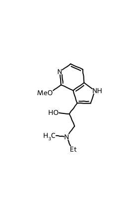 CCN(C)CC(O)c1c[nH]c2ccnc(OC)c12